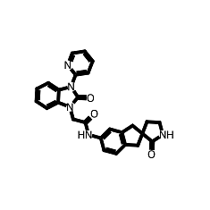 O=C(Cn1c(=O)n(-c2ccccn2)c2ccccc21)Nc1ccc2c(c1)CC1(CCNC1=O)C2